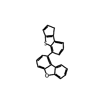 C1=Cc2sc3c(-c4cccc5oc6ccccc6c45)cccc3c2C1